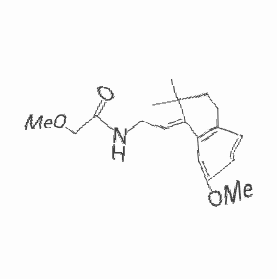 COCC(=O)NCC=C1c2cc(OC)ccc2CCC1(C)C